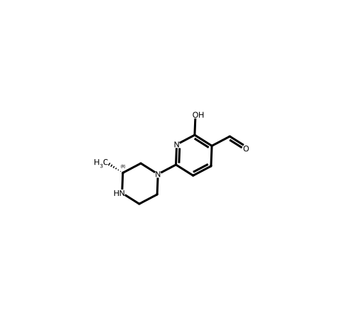 C[C@@H]1CN(c2ccc(C=O)c(O)n2)CCN1